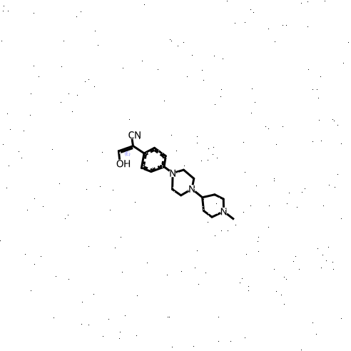 CN1CCC(N2CCN(c3ccc(/C(C#N)=C\O)cc3)CC2)CC1